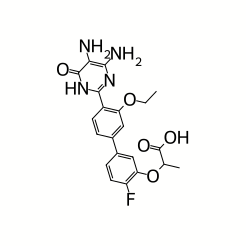 CCOc1cc(-c2ccc(F)c(OC(C)C(=O)O)c2)ccc1-c1nc(N)c(N)c(=O)[nH]1